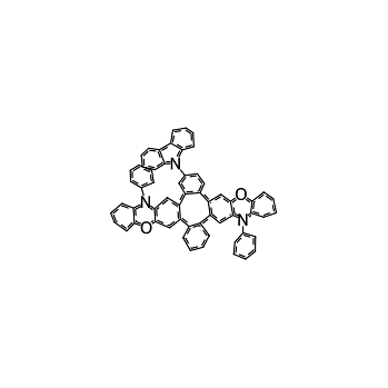 c1ccc(-n2c3ccccc3oc3cc4c5ccc(-n6c7ccccc7c7ccccc76)cc5c5cc6c(cc5c5ccccc5c4cc32)oc2ccccc2n6-c2ccccc2)cc1